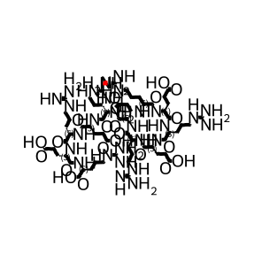 N=C(N)NCCC[C@H](NC(=O)[C@H](CCC(=O)O)NC(=O)[C@H](CCCNC(=N)N)NC(=O)[C@H](CCC(=O)O)NC(=O)[C@H](CCCNC(=N)N)NC(=O)[C@H](CCC(=O)O)NC(=O)[C@H](CCCNC(=N)N)NC(=O)[C@H](CCC(=O)O)NC(=O)[C@H](CCCNC(=N)N)NC(=O)[C@H](CCC(=O)O)NC(=O)[C@@H](N)CCCNC(=N)N)C(=O)O